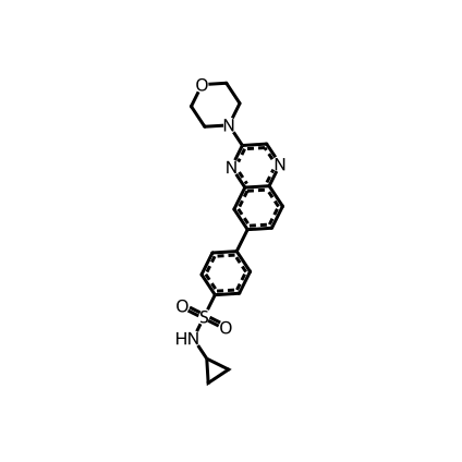 O=S(=O)(NC1CC1)c1ccc(-c2ccc3ncc(N4CCOCC4)nc3c2)cc1